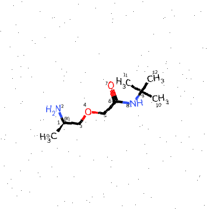 C[C@@H](N)COCC(=O)NC(C)(C)C